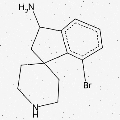 NC1CC2(CCNCC2)c2c(Br)cccc21